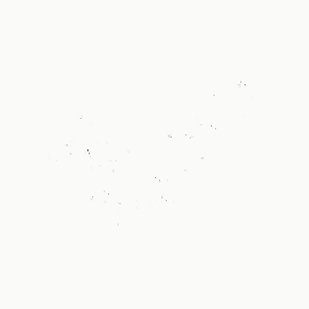 O=C(NC1CCNCC1)N1CCC(n2ncc(C(=O)N3CC[C@@H](c4ccccc4C(F)(F)F)C3)c2C2CC2)CC1